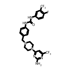 Nc1nc(N2CCN(Cc3ccc(NC(=O)Nc4ccc(F)c(C(F)(F)F)c4)cc3)CC2)cc(C(F)(F)F)n1